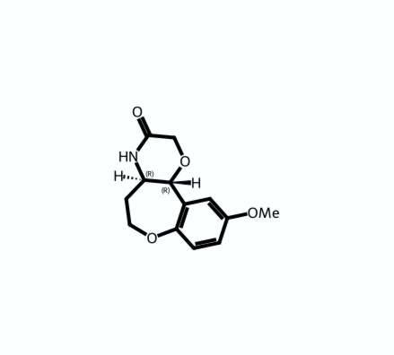 COc1ccc2c(c1)[C@H]1OCC(=O)N[C@@H]1CCO2